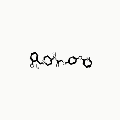 Cc1ccccc1CN1CCC(NC(=O)COc2ccc(Oc3ccccn3)cc2)CC1